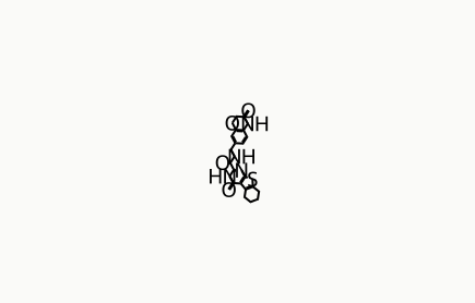 O=C1COc2cc(CNC(=O)c3nc4sc5c(c4c(=O)[nH]3)CCCC5)ccc2N1